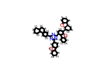 C1=CC2c3ccccc3OC2C(c2ccc(-c3nc(-c4ccc5c(ccc6ccccc65)c4)nc(-c4ccc5c(c4)oc4ccccc45)n3)c3c2oc2ccccc23)=C1